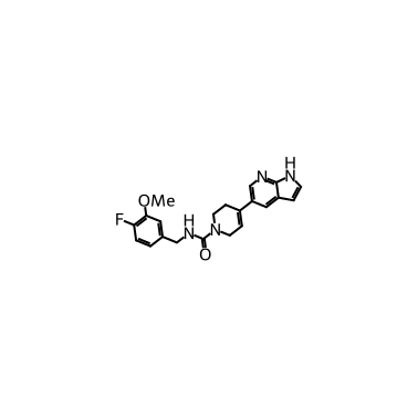 COc1cc(CNC(=O)N2CC=C(c3cnc4[nH]ccc4c3)CC2)ccc1F